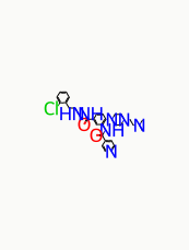 CN(C)CCN1CCN(c2ccc(C(=O)NNCCc3ccccc3Cl)cc2NC(=O)c2ccncc2)CC1